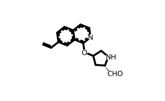 C=Cc1ccc2ccnc(OC3CN[C@H](C=O)C3)c2c1